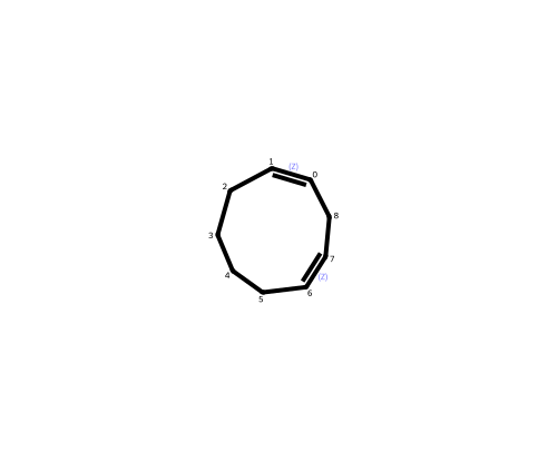 C1=C\CCCC/C=C\C/1